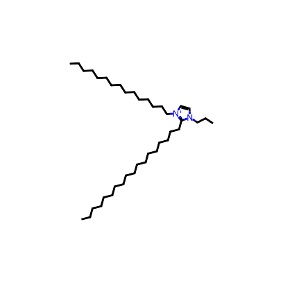 CCCCCCCCCCCCCCCCCCc1n(CCC)cc[n+]1CCCCCCCCCCCCCCC